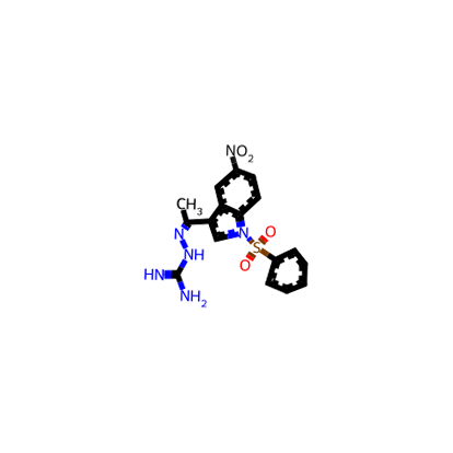 C/C(=N/NC(=N)N)c1cn(S(=O)(=O)c2ccccc2)c2ccc([N+](=O)[O-])cc12